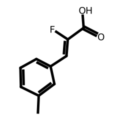 Cc1cccc(/C=C(\F)C(=O)O)c1